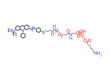 CCN(CC)c1ccc2cc3ccc(/N=N/c4ccc(N(C)CCCC(=O)NC(C)(C)COC(C)CCC(=O)NCCOP(=O)(O)OCCOC(=O)CCCCCN)cc4)cc3[n+](-c3ccccc3)c2c1